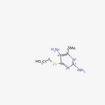 CSc1nc(N)nc(SCC(=O)O)c1N